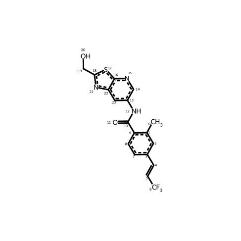 Cc1cc(C=CC(F)(F)F)ccc1C(=O)Nc1cnc2sc(CO)nc2c1